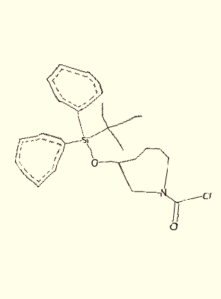 CC(C)(C)[Si](OC1CCN(C(=O)Cl)C1)(c1ccccc1)c1ccccc1